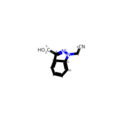 N#CCn1nc(C(=O)O)c2ccccc21